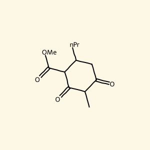 CCCC1CC(=O)C(C)C(=O)C1C(=O)OC